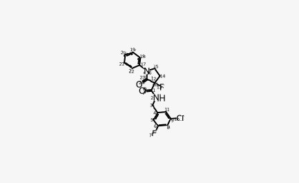 O=C(NCc1cc(F)cc(Cl)c1)[C@@]1(F)CCN(c2ccccc2)C1=O